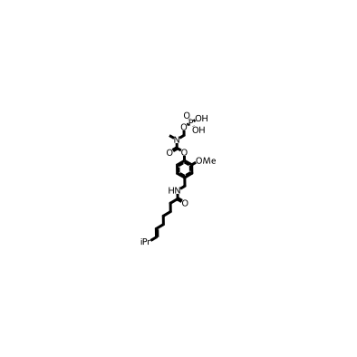 COc1cc(CNC(=O)CCCC/C=C/C(C)C)ccc1OC(=O)N(C)COP(=O)(O)O